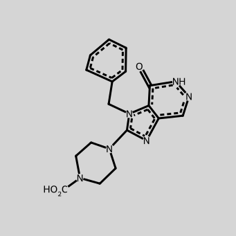 O=C(O)N1CCN(c2nc3cn[nH]c(=O)c3n2Cc2ccccc2)CC1